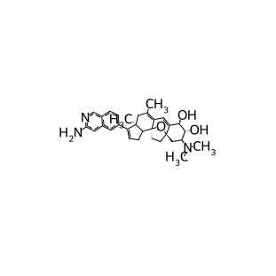 CC1=C2C=C3[C@@H](O)[C@H](O)[C@@H](N(C)C)C[C@]34CC[C@]2(O4)C2CC=C(c3ccc4cnc(N)cc4c3)[C@@]2(C)C1